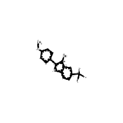 COc1ccc(-c2sc3ccc(C(F)(F)F)cc3c2O)cc1